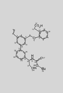 C=Cc1cc(COc2ccccc2CC(=O)O)cc(-c2cccc(C(CO)NC(=O)OC(C)(C)C)c2)c1